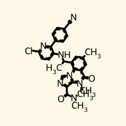 Cc1cc(C(C)Nc2ccc(Cl)nc2-c2ccc(C#N)cc2)c2c(c1)c(=O)n(C)c1c(C(=O)N(C)C)ncn21